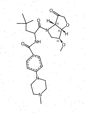 CO[C@H]1CN(C(=O)C(CC(C)(C)C)NC(=O)c2ccc(N3CCN(C)CC3)cc2)[C@@H]2C(=O)CO[C@H]12